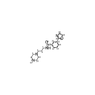 CN1CCN(CCCNC(=O)c2cccc(-c3ncco3)c2)CC1